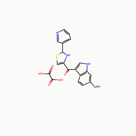 COc1ccc2c(C(=O)C3=CSC(c4cccnc4)N3)c[nH]c2c1.O=C(O)C(=O)O